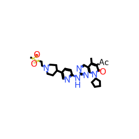 CC(=O)c1c(C)c2cnc(Nc3ccc(C4CCN(CCS(C)(=O)=O)CC4)cn3)nc2n(C2CCCC2)c1=O